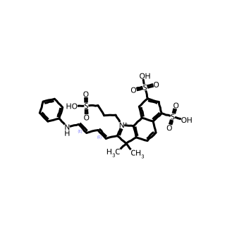 CC1(C)C(/C=C/C=C/Nc2ccccc2)=[N+](CCCS(=O)(=O)O)c2c1ccc1c(S(=O)(=O)O)cc(S(=O)(=O)O)cc21